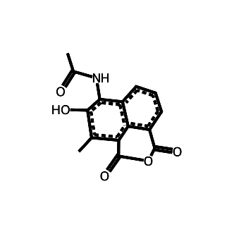 CC(=O)Nc1c(O)c(C)c2c3c(cccc13)C(=O)OC2=O